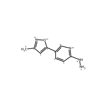 Cc1cc(-c2ccc(NN)nc2)on1